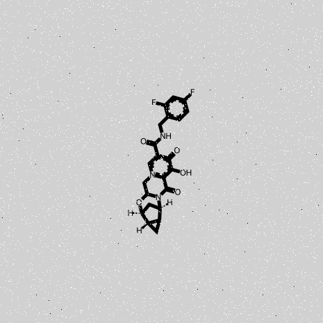 O=C(NCc1ccc(F)cc1F)c1cn2c(c(O)c1=O)C(=O)N1C(C2)O[C@H]2C[C@@H]1C1C[C@@H]12